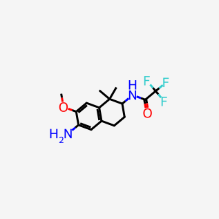 COc1cc2c(cc1N)CCC(NC(=O)C(F)(F)F)C2(C)C